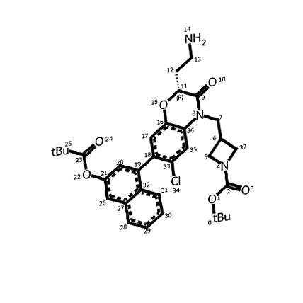 CC(C)(C)OC(=O)N1CC(CN2C(=O)[C@@H](CCN)Oc3cc(-c4cc(OC(=O)C(C)(C)C)cc5ccccc45)c(Cl)cc32)C1